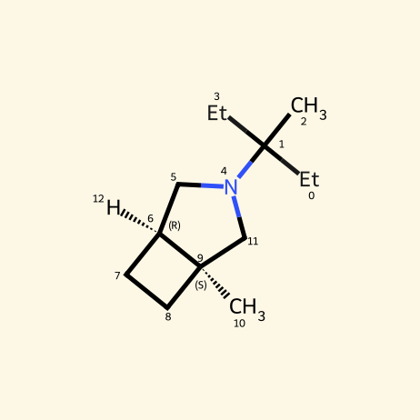 CCC(C)(CC)N1C[C@@H]2CC[C@]2(C)C1